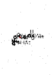 COC(=O)Nc1ccc(-c2ccc(C[C@@H](N)CC(=O)N3CCC[C@@H](c4nc5ccccc5n4CCNC(C)=O)C3)cc2)cc1